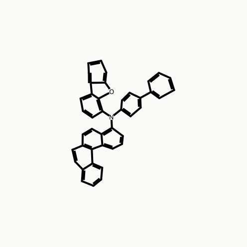 c1ccc(-c2ccc(N(c3cccc4c3ccc3ccc5ccccc5c34)c3cccc4c3oc3ccccc34)cc2)cc1